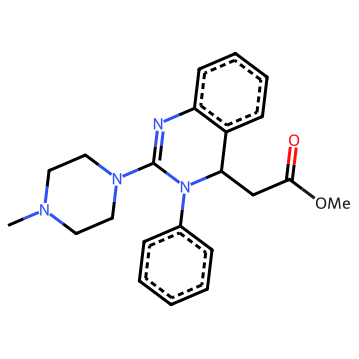 COC(=O)CC1c2ccccc2N=C(N2CCN(C)CC2)N1c1ccccc1